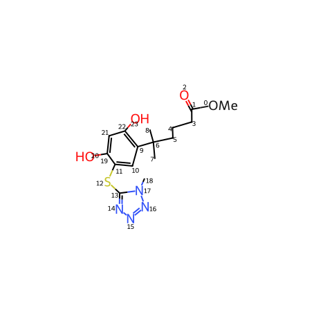 COC(=O)CCCC(C)(C)c1cc(Sc2nnnn2C)c(O)cc1O